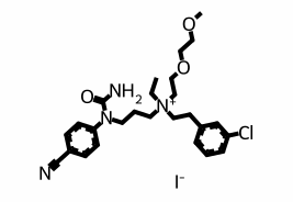 CC[N+](CCCN(C(N)=O)c1ccc(C#N)cc1)(CCOCCOC)CCc1cccc(Cl)c1.[I-]